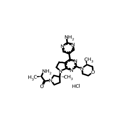 C[C@@H](N)C(=O)N1CC[C@](C)(N2CCc3c(-c4cnc(N)nc4)nc(N4CCOC[C@@H]4C)nc32)C1.Cl